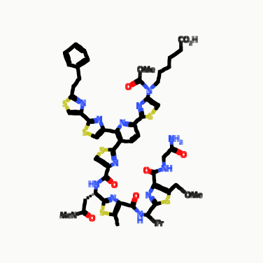 CNC(=O)C[C@H](NC(=O)c1csc(-c2ccc(-c3nc(N(CCCCCC(=O)O)C(=O)OC)cs3)nc2-c2csc(-c3csc(CCc4ccccc4)n3)n2)n1)c1nc(C(=O)NC(c2nc(C(=O)NCC(N)=O)c(COC)s2)C(C)C)c(C)s1